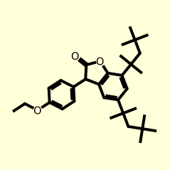 CCOc1ccc(C2C(=O)Oc3c2cc(C(C)(C)CC(C)(C)C)cc3C(C)(C)CC(C)(C)C)cc1